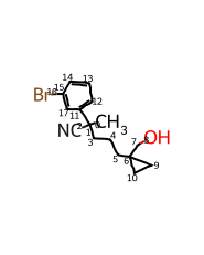 CC(C#N)(CCCC1(CO)CC1)c1cccc(Br)c1